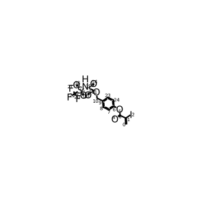 C=C(I)C(=O)Oc1ccc(COS(=O)(=O)NS(=O)(=O)C(F)(F)F)cc1